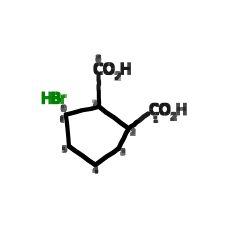 Br.O=C(O)C1CCCCC1C(=O)O